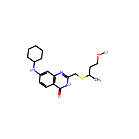 CCOCCC(C)SCc1nc2cc(NC3CCCCC3)ccc2c(=O)[nH]1